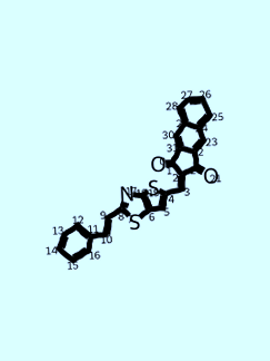 O=C1C(=Cc2cc3sc(/C=C/c4ccccc4)nc3s2)C(=O)c2cc3ccccc3cc21